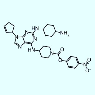 N[C@H]1CC[C@H](Nc2nc(NC3CCN(C(=O)Oc4ccc([N+](=O)[O-])cc4)CC3)c3ncn(C4C=CCC4)c3n2)CC1